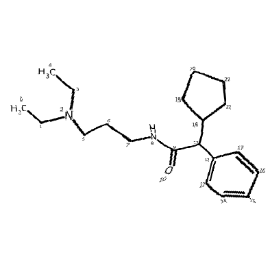 CCN(CC)CCCNC(=O)C(c1ccccc1)C1CCCC1